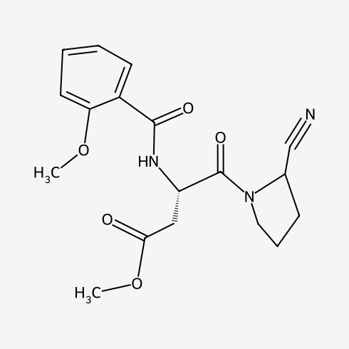 COC(=O)C[C@H](NC(=O)c1ccccc1OC)C(=O)N1CCCC1C#N